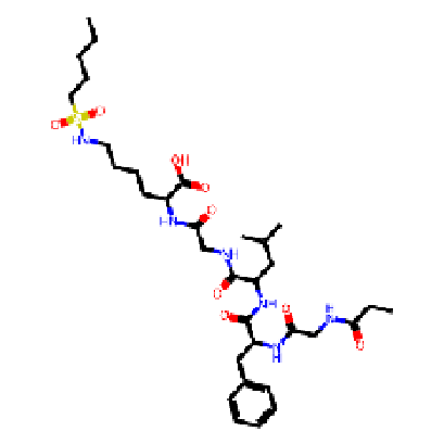 CCCCCS(=O)(=O)NCCCCC(NC(=O)CNC(=O)C(CC(C)C)NC(=O)C(Cc1ccccc1)NC(=O)CNC(=O)CC)C(=O)O